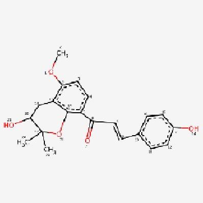 COc1ccc(C(=O)C=Cc2ccc(O)cc2)c2c1CC(O)C(C)(C)O2